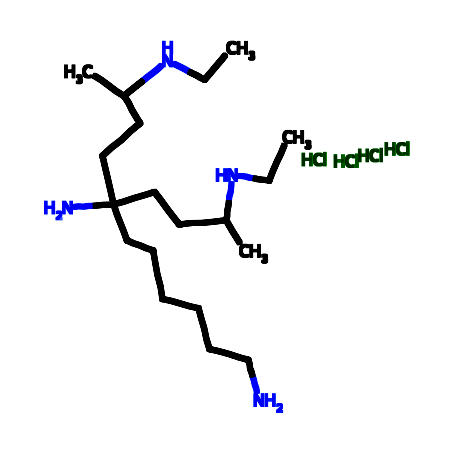 CCNC(C)CCC(N)(CCCCCCN)CCC(C)NCC.Cl.Cl.Cl.Cl